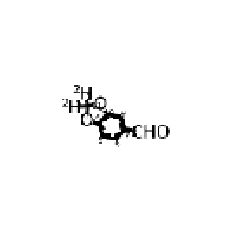 [2H]C1([2H])Oc2ccc(C=O)cc2O1